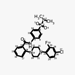 CN(C)S(=O)(=O)c1ccc(NC(=O)c2ccccc2N2CCN(c3ccc(Cl)cc3F)CC2)cc1